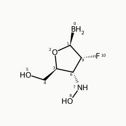 B[C@@H]1O[C@H](CO)[C@@H](NO)[C@H]1F